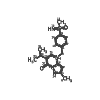 Cc1cc2n(Cc3ccc([S@](C)(=N)=O)cc3)cc(C(C)C)c(=O)n2n1